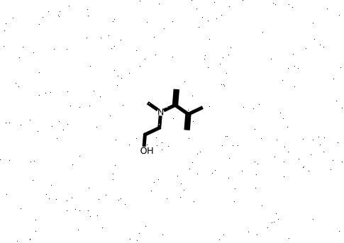 C=C(C)C(=C)N(C)CCO